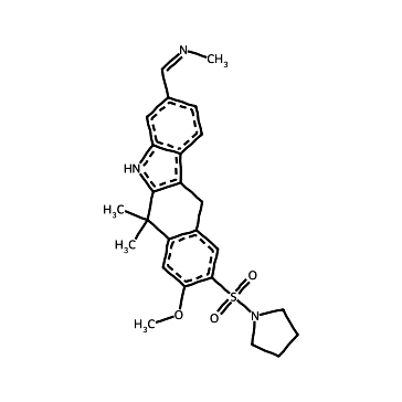 C/N=C\c1ccc2c3c([nH]c2c1)C(C)(C)c1cc(OC)c(S(=O)(=O)N2CCCC2)cc1C3